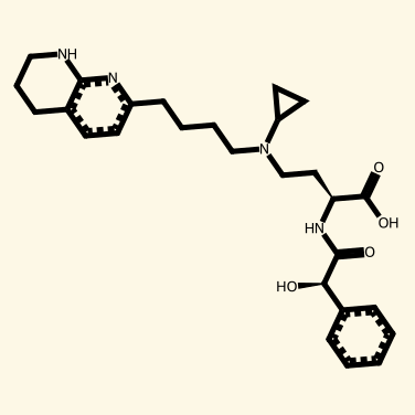 O=C(O)[C@H](CCN(CCCCc1ccc2c(n1)NCCC2)C1CC1)NC(=O)[C@H](O)c1ccccc1